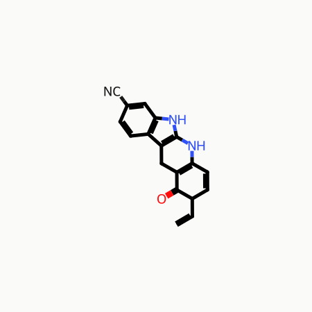 C=CC1C=CC2=C(Cc3c([nH]c4cc(C#N)ccc34)N2)C1=O